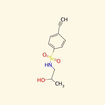 C#Cc1ccc(S(=O)(=O)NCC(C)O)cc1